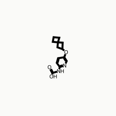 O=C(O)Nc1ccc(OC2CC3(CCC3)C2)cn1